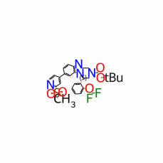 CC(C)(C)OC(=O)N1Cc2nc3ccc(-c4ccnc(S(C)(=O)=O)c4)cc3n2[C@@H](c2ccccc2OC(F)F)C1